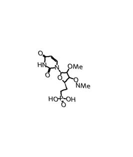 CNOC1C(OC)[C@H](n2ccc(=O)[nH]c2=O)O[C@@H]1CCP(=O)(O)O